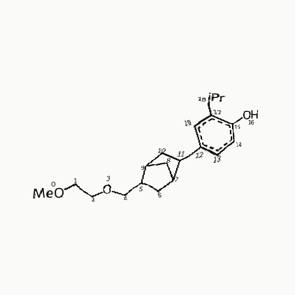 COCCOCC1CC2CC1CC2c1ccc(O)c(C(C)C)c1